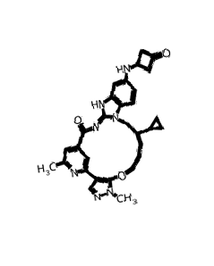 Cc1cc2cc(n1)-c1cnn(C)c1OCCCC(C1CC1)CN1/C(=N/C2=O)Nc2cc(NC3CC(=O)C3)ccc21